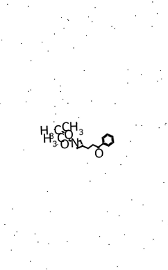 CC(C)(C)OC(=O)N1CC(CCC(=O)c2ccccc2)C1